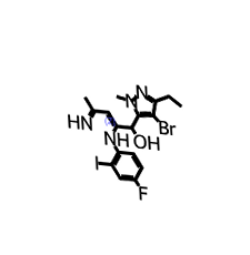 CCc1nn(C)c(C(O)/C(=C/C(C)=N)Nc2ccc(F)cc2I)c1Br